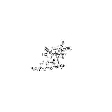 CO[C@H]1CC[C@H]([C@@H]2CC(n3c(C(=O)O)cc4ccccc43)N(C(=O)[C@H]3CC[C@H]([C@H](N)CF)CC3)[C@@H]2C(N)=O)CC1.Cl